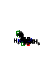 Cc1cc(=O)n(-c2ccc(NC(C)(C)CCc3ccc(Cl)c(F)c3)c(Cl)c2)c(C)n1